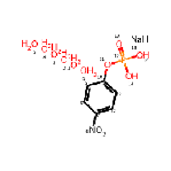 O.O.O.O.O.O.O=[N+]([O-])c1ccc(OP(=O)(O)O)cc1.[NaH]